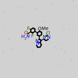 COc1ccc(-c2nn3ccccc3c2-c2ccnc(Cl)n2)cc1-c1ccc(F)c(C(N)=O)c1F